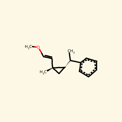 COC=C[C@@]1(C)C[C@H]1C(C)c1ccccc1